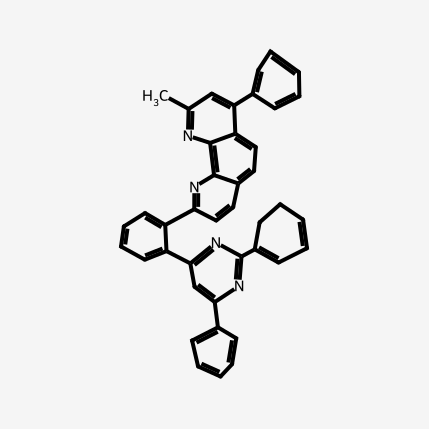 Cc1cc(-c2ccccc2)c2ccc3ccc(-c4ccccc4-c4cc(-c5ccccc5)nc(C5=CC=CCC5)n4)nc3c2n1